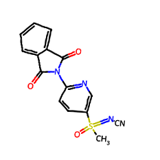 CS(=O)(=NC#N)c1ccc(N2C(=O)c3ccccc3C2=O)nc1